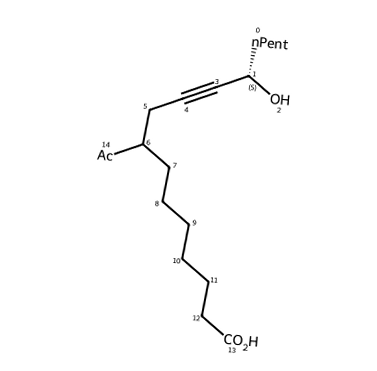 CCCCC[C@H](O)C#CCC(CCCCCCC(=O)O)C(C)=O